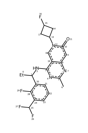 CCC(Nc1nc(C)nc2cc(=O)n(C3CC(F)C3)cc12)c1cccc(C(F)F)c1F